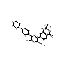 Cc1nc2cc(-c3nc(-c4ccc(N5CCNCC5)cc4)c(F)nc3N)ccc2c(=O)[nH]1